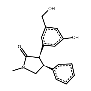 CN1C[C@H](c2ccccc2)[C@H](c2cc(O)cc(CO)c2)C1=O